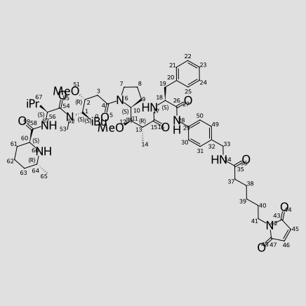 CC[C@H](C)[C@@H]([C@@H](CC(=O)N1CCC[C@H]1[C@H](OC)[C@@H](C)C(=O)N[C@@H](Cc1ccccc1)C(=O)Nc1ccc(CNC(=O)CCCCCN2C(=O)C=CC2=O)cc1)OC)N(C)C(=O)[C@@H](NC(=O)[C@@H]1CCC[C@@H](C)N1)C(C)C